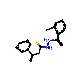 C=C(CC(=S)NNC(=C)c1ccccc1C)c1ccccc1